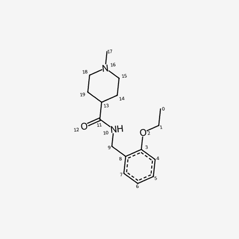 CCOc1ccccc1CNC(=O)C1CCN(C)CC1